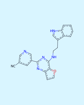 N#Cc1cncc(-c2nc(NCCc3c[nH]c4ccccc34)c3occc3n2)c1